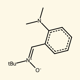 CN(C)c1ccccc1C=[N+]([O-])C(C)(C)C